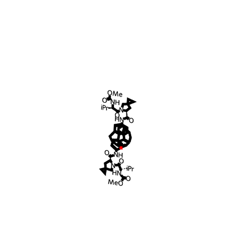 COC(=O)N[C@H](C(=O)N1CC2(CC2)C[C@H]1C(=O)Nc1ccc(-c2cc3ccc2CCc2ccc(c(-c4ccc(NC(=O)[C@@H]5CC6(CC6)CN5C(=O)[C@H](NC(=O)OC)C(C)C)cc4)c2)CC3)cc1)C(C)C